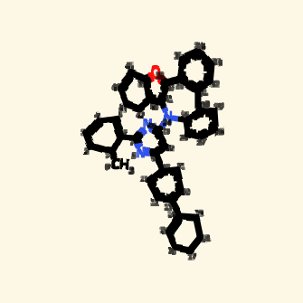 CC1CC=CC=C1c1nc(-c2ccc(C3=CCCCC3)cc2)cc(N2c3ccccc3-c3ccccc3-c3oc4c(c32)CCC=C4)n1